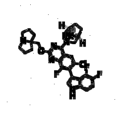 Fc1ccc2[nH]cc(-c3c(Cl)cc4c(N5C[C@H]6CC[C@@H](C5)N6)nc(OCC56CCCN5CCC6)nc4c3F)c2c1F